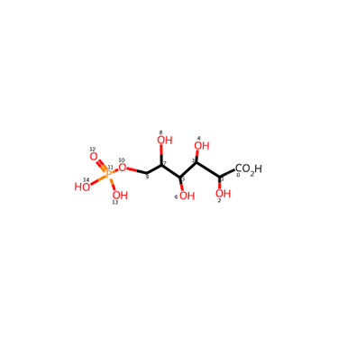 O=C(O)C(O)C(O)C(O)C(O)COP(=O)(O)O